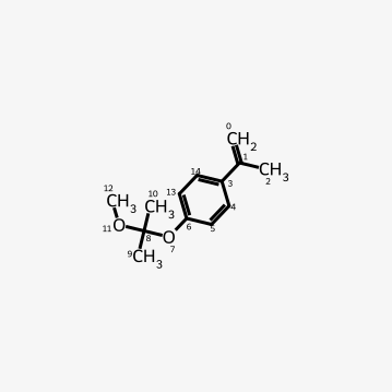 C=C(C)c1ccc(OC(C)(C)OC)cc1